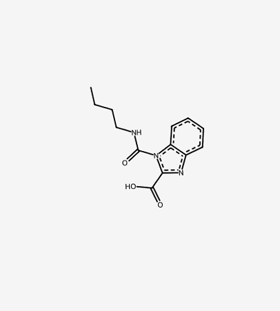 CCCCNC(=O)n1c(C(=O)O)nc2ccccc21